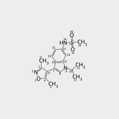 Cc1noc(C)c1-c1cn(C(C)C)c2cc(NS(C)(=O)=O)ccc12